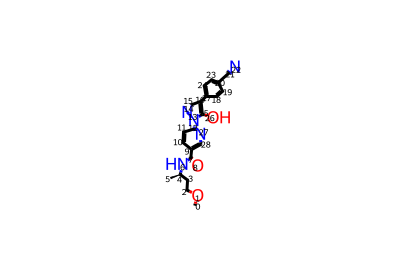 COCC[C@@H](C)NC(=O)c1ccc(-n2ncc(-c3ccc(C#N)cc3)c2O)nc1